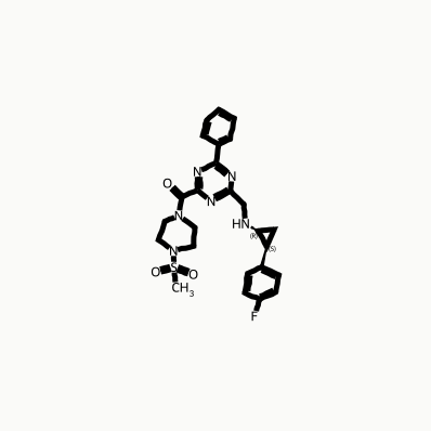 CS(=O)(=O)N1CCN(C(=O)c2nc(CN[C@@H]3C[C@H]3c3ccc(F)cc3)nc(-c3ccccc3)n2)CC1